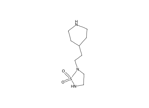 O=S1(=O)NCCN1CCC1CCNCC1